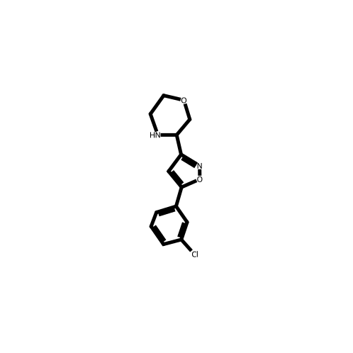 Clc1cccc(-c2cc(C3COCCN3)no2)c1